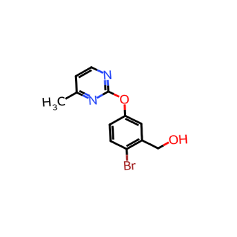 Cc1ccnc(Oc2ccc(Br)c(CO)c2)n1